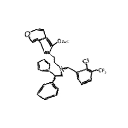 CC(=O)Oc1c(CCN(Cc2cccc(C(F)(F)F)c2Cl)CC(c2ccccc2)c2ccccc2)cc2coccc1-2